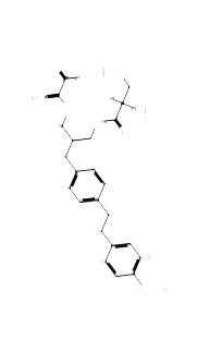 C=C(C)C(=O)OCC(COC(=O)C(C)(C)CO)Cc1ccc(CCc2ccc(CCCCC)cc2)cc1